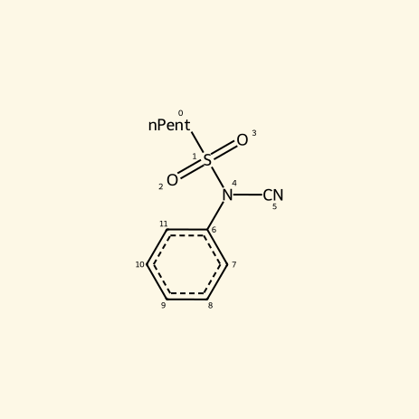 CCCCCS(=O)(=O)N(C#N)c1ccccc1